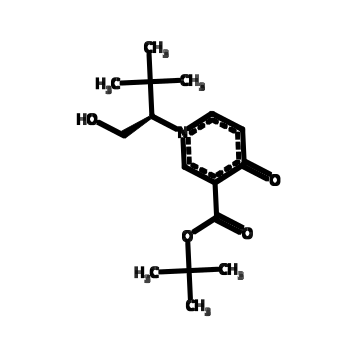 CC(C)(C)OC(=O)c1cn([C@@H](CO)C(C)(C)C)ccc1=O